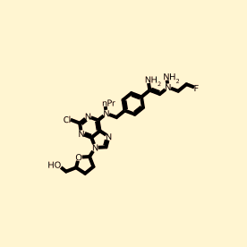 CCCN(Cc1ccc(/C(N)=C/N(N)CCF)cc1)c1nc(Cl)nc2c1ncn2C1CCC(CO)O1